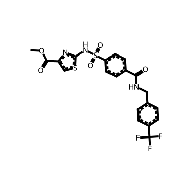 COC(=O)c1csc(NS(=O)(=O)c2ccc(C(=O)NCc3ccc(C(F)(F)F)cc3)cc2)n1